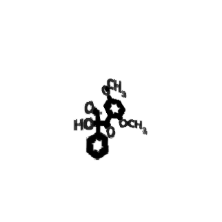 COc1ccc(OC)c(C(=O)C(O)([C]=O)c2ccccc2)c1